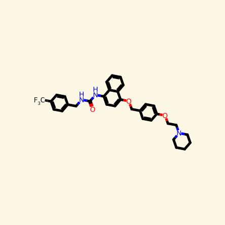 O=C(NCc1ccc(C(F)(F)F)cc1)Nc1ccc(OCc2ccc(OCCN3CCCCC3)cc2)c2ccccc12